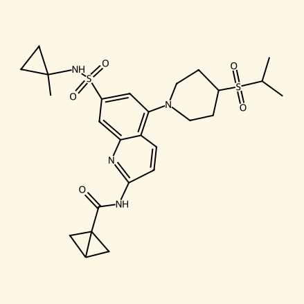 CC(C)S(=O)(=O)C1CCN(c2cc(S(=O)(=O)NC3(C)CC3)cc3nc(NC(=O)C45CC4C5)ccc23)CC1